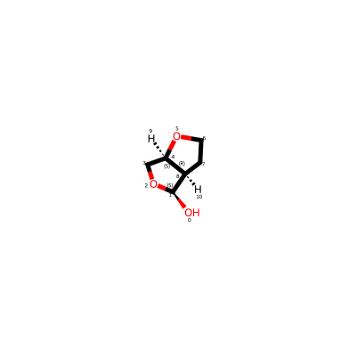 O[C@H]1OC[C@H]2OCC[C@@H]12